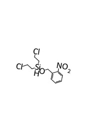 O=[N+]([O-])c1ccccc1CO[SiH](CCCl)CCCl